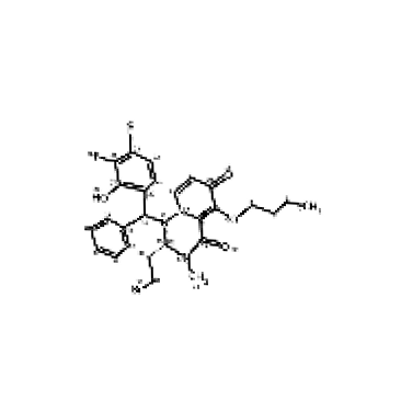 CCCCOc1c2n(ccc1=O)N(C(c1ccccc1)c1ccc(F)c(F)c1O)[C@@H](CCBr)N(C)C2=O